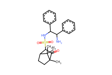 CC12CCC(C(S(=O)(=O)NC(c3ccccc3)C(N)c3ccccc3)C1=O)C2(C)C